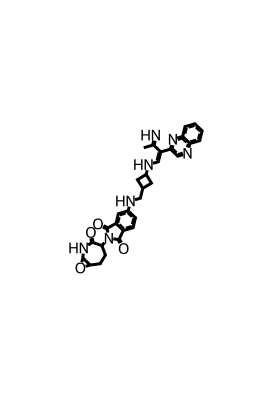 CC(=N)/C(=C\NC1CC(CNc2ccc3c(c2)C(=O)N(C2CCC4OC4NC2=O)C3=O)C1)c1cnc2ccccc2n1